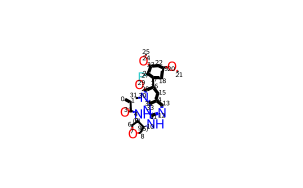 C=CC(=O)N[C@H]1COC[C@H]1Nc1ncc2cc(-c3cc(OC)cc(OC)c3F)c(=O)n(C)c2n1